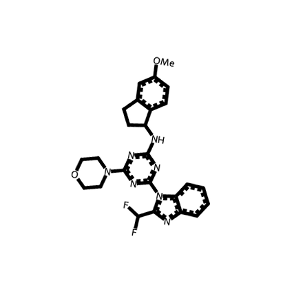 COc1ccc2c(c1)CCC2Nc1nc(N2CCOCC2)nc(-n2c(C(F)F)nc3ccccc32)n1